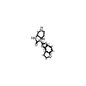 O=C1NC2CNCC[C@H]2N1c1nc2c3c(ccc2s1)OCC3